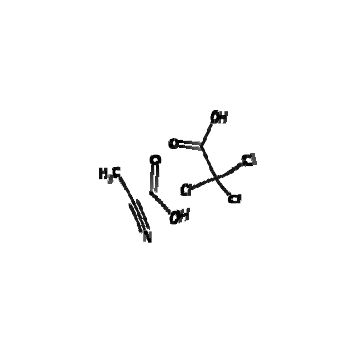 CC#N.O=C(O)C(Cl)(Cl)Cl.O=CO